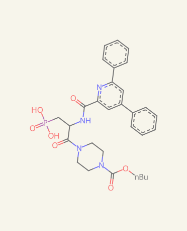 CCCCOC(=O)N1CCN(C(=O)C(CP(=O)(O)O)NC(=O)c2cc(-c3ccccc3)cc(-c3ccccc3)n2)CC1